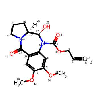 C=CCOC(=O)N1c2cc(OC)c(OC)cc2C(=O)N2CCC[C@H]2[C@@H]1O